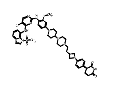 COc1cc(N2CCC(N3CCN(CCC4CN(c5ccc(C6CCC(=O)NC6=O)cc5)C4)CC3)CC2)ccc1Nc1ncc(Cl)c(Nc2cccc3ccn(S(C)(=O)=O)c23)n1